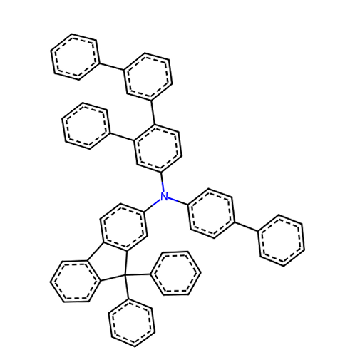 c1ccc(-c2ccc(N(c3ccc(-c4cccc(-c5ccccc5)c4)c(-c4ccccc4)c3)c3ccc4c(c3)C(c3ccccc3)(c3ccccc3)c3ccccc3-4)cc2)cc1